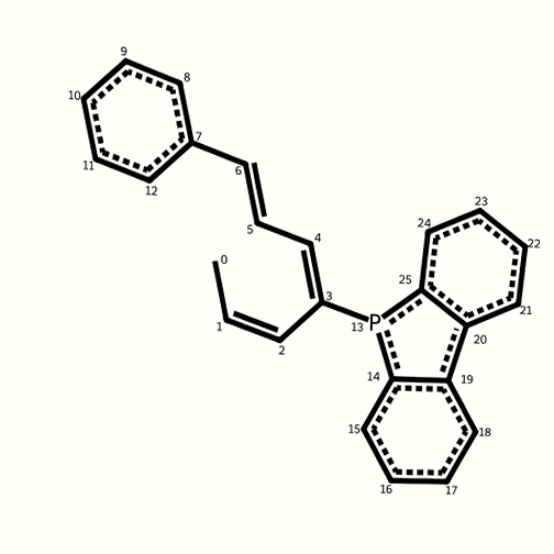 C\C=C/C(=C\C=C\c1ccccc1)p1c2ccccc2c2ccccc21